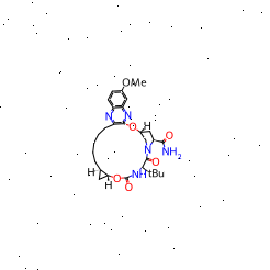 COc1ccc2nc3c(nc2c1)O[C@@H]1C[C@@H](C(N)=O)N(C1)C(=O)C(C(C)(C)C)NC(=O)O[C@@H]1C[C@H]1CCCCC3